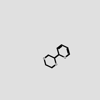 C1=COC([C]2COCCO2)C=C1